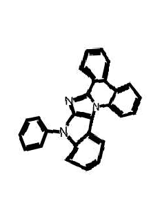 c1ccc(-n2c3ccccc3c3c2nc2c4ccccc4c4ccccc4n23)cc1